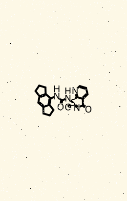 O=C(Nc1c2c(cc3c1CCC3)CCC2)NS1(=O)=NC(=O)c2cccnc21